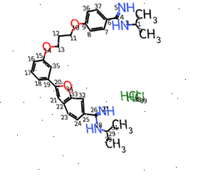 CC(C)NC(=N)c1ccc(OCCCOc2cccc(-c3cc4ccc(C(=N)NC(C)C)cc4o3)c2)cc1.Cl.Cl